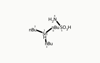 CCC[CH2][SnH]([CH2]CCC)[CH2]CCC.NS(=O)(=O)O